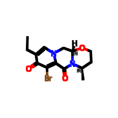 CCc1cn2c(c(Br)c1=O)C(=O)N1[C@H](C)CCO[C@H]1C2